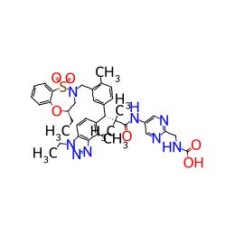 CC[C@@H]1CN(Cc2cc([C@@H](c3ccc4c(nnn4CC)c3C)C(C)(C)C(=O)Nc3cnc(CNC(=O)O)nc3)ccc2C)S(=O)(=O)c2ccccc2O1